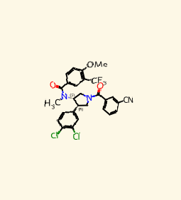 COc1ccc(C(=O)N(C)[C@@H]2CN(C(=O)c3cccc(C#N)c3)C[C@H]2c2ccc(Cl)c(Cl)c2)cc1C(F)(F)F